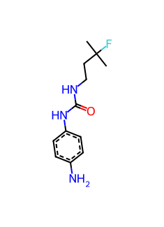 CC(C)(F)CCNC(=O)Nc1ccc(N)cc1